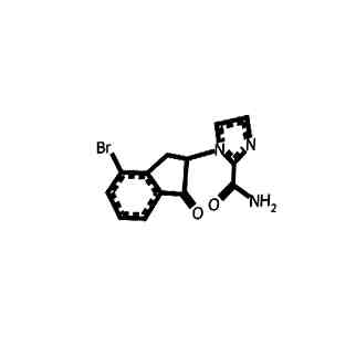 NC(=O)c1nccn1C1Cc2c(Br)cccc2C1=O